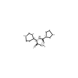 CC(=O)[C@@H](NC(=O)N1CCCC1)C1CCOCC1